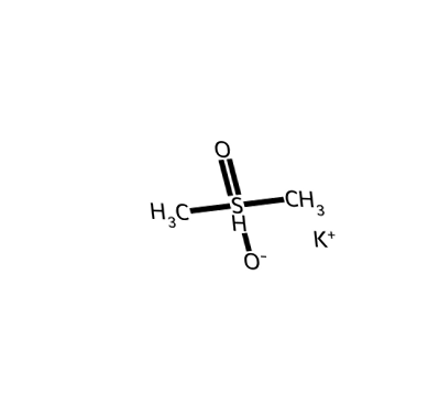 C[SH](C)(=O)[O-].[K+]